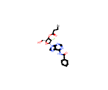 CC(=O)CCC(=O)OC1[C@@H](CO)O[C@@H](n2cnc3c(NC(=O)c4ccccc4)ncnc32)[C@H]1F